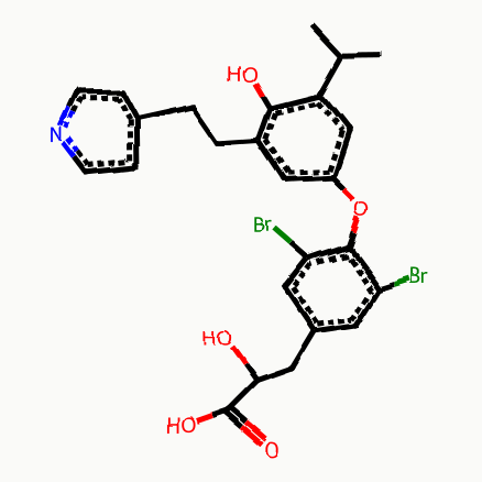 CC(C)c1cc(Oc2c(Br)cc(CC(O)C(=O)O)cc2Br)cc(CCc2ccncc2)c1O